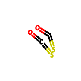 O=C=S.O=C=S